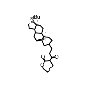 CC[C@@H](C)[C@H]1CCC2C3CC=C4CC(CCC(=O)C5CCCCOC5=O)CC[C@]4(C)C3CC[C@@]21C